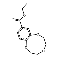 CCOC(=O)c1ccc2c(c1)OCCOCCO2